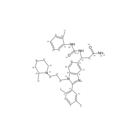 Cc1ccc(C)c(-c2nc3cc(C(CC(N)=O)NC(=O)Nc4ccccc4C)ccc3n2CCCN2CCCCC2C)c1